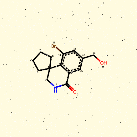 O=C1NCC2(CCCC2)c2c(Br)cc(CO)cc21